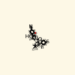 C[C@@H]1CN(C(=O)[C@@H]2CN(C(C)(C)C)C[C@H]2c2ccc(F)cc2F)C[C@H](C)[C@@]1(O)c1ccc(C#N)cc1